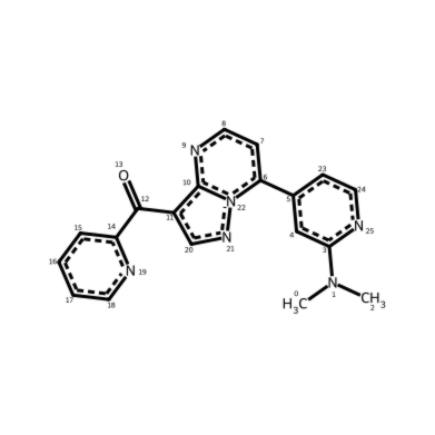 CN(C)c1cc(-c2ccnc3c(C(=O)c4ccccn4)cnn23)ccn1